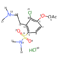 CC(=O)OOc1ccc(S(=O)(=O)N(C)C)c(CCN(C)C)c1Cl.Cl